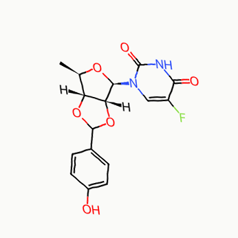 C[C@H]1O[C@@H](n2cc(F)c(=O)[nH]c2=O)[C@@H]2OC(c3ccc(O)cc3)O[C@@H]21